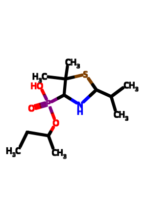 CCC(C)OP(=O)(O)C1NC(C(C)C)SC1(C)C